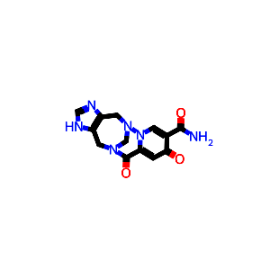 NC(=O)c1cn2c(cc1=O)C(=O)N1Cc3[nH]cnc3CN2C1